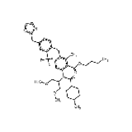 CCCCOC(=O)c1c(N(C(=O)[C@H]2CC[C@H](C)CC2)C(COC)COC)ccc(Oc2ccc(Cn3nccn3)cc2C(F)(F)F)c1C